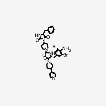 Nc1c(Br)cc(C[C@@H](NC(=O)N2CCC(N3C(=O)NC(Cc4ccccc4)C3=O)CC2)C(=O)N2CCC(c3ccncc3)CC2)cc1Br